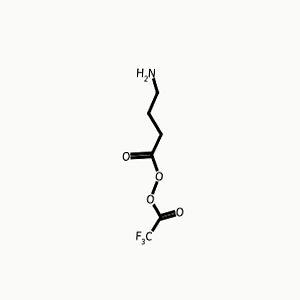 NCCCC(=O)OOC(=O)C(F)(F)F